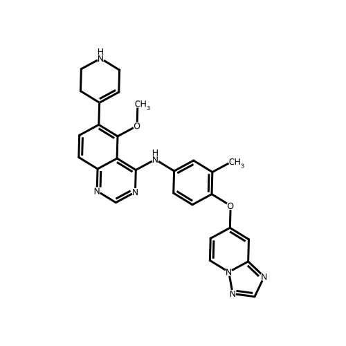 COc1c(C2=CCNCC2)ccc2ncnc(Nc3ccc(Oc4ccn5ncnc5c4)c(C)c3)c12